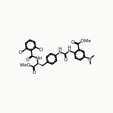 COC(=O)c1cc(N(C)C)ccc1NC(=O)Nc1ccc(C[C@H](NC(=O)c2c(Cl)cccc2Cl)C(=O)OC)cc1